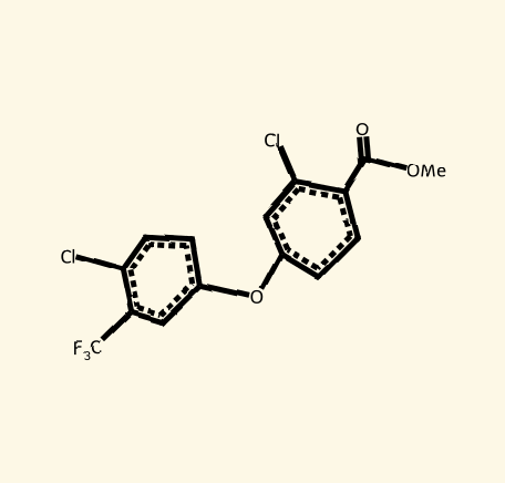 COC(=O)c1ccc(Oc2ccc(Cl)c(C(F)(F)F)c2)cc1Cl